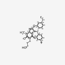 Cn1c(=O)n(CCCO)c(=O)c2c1nc(Oc1cccc(CF)c1)n2Cc1ccc(F)cc1